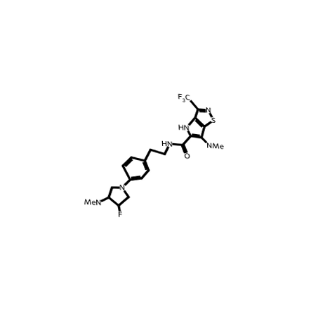 CNc1c(C(=O)NCCc2ccc(N3CC(F)C(NC)C3)cc2)[nH]c2c(C(F)(F)F)nsc12